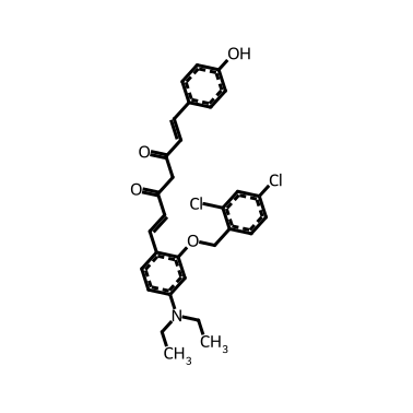 CCN(CC)c1ccc(/C=C/C(=O)CC(=O)/C=C/c2ccc(O)cc2)c(OCc2ccc(Cl)cc2Cl)c1